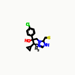 CC(C1CC1)C(O)(CN1N=CNC1C=S)c1ccc(Cl)cc1